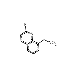 O=[N+]([O-])Cc1cccc2ccc(F)nc12